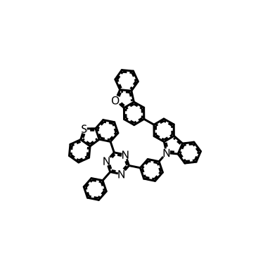 c1ccc(-c2nc(-c3cccc(-n4c5ccccc5c5ccc(-c6ccc7oc8ccccc8c7c6)cc54)c3)nc(-c3cccc4sc5ccccc5c34)n2)cc1